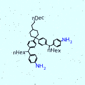 CCCCCCCCCCCCC1CCC(c2ccc(C(CCCCCC)c3ccc(N)cc3)cc2)(c2ccc(C(CCCCCC)c3ccc(N)cc3)cc2)CC1